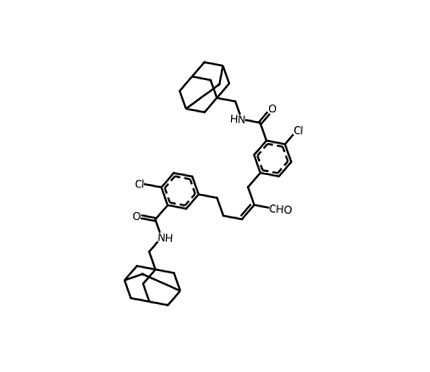 O=C/C(=C/CCc1ccc(Cl)c(C(=O)NCC23CC4CC(CC(C4)C2)C3)c1)Cc1ccc(Cl)c(C(=O)NCC23CC4CC(CC(C4)C2)C3)c1